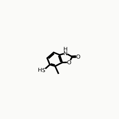 Cc1c(S)ccc2[nH]c(=O)oc12